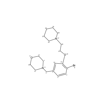 Brc1ccc(CN2CCOCC2)cc1OCCN1CCCCC1